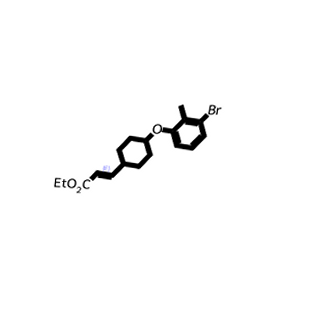 CCOC(=O)/C=C/C1CCC(Oc2cccc(Br)c2C)CC1